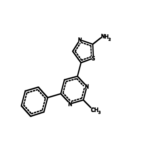 Cc1nc(-c2ccccc2)cc(-c2cnc(N)s2)n1